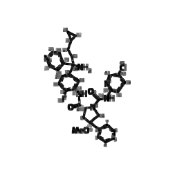 CO[C@]1(c2ccccc2)C[C@H](C(=O)Nc2cc(C(N)(CCC3CC3)c3ccncc3)ccc2F)N(C(=O)Nc2ccc(Cl)cn2)C1